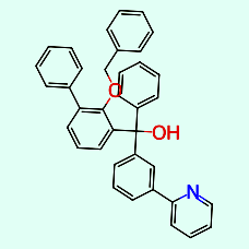 OC(c1ccccc1)(c1cccc(-c2ccccn2)c1)c1cccc(-c2ccccc2)c1OCc1ccccc1